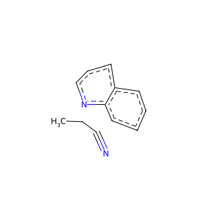 CCC#N.c1ccc2ncccc2c1